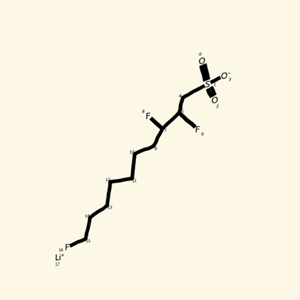 O=S(=O)([O-])CC(F)C(F)CCCCCCCF.[Li+]